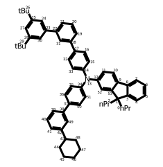 CCCC1(CCC)c2ccccc2-c2ccc(N(c3ccc(-c4cccc(-c5cc(C(C)(C)C)cc(C(C)(C)C)c5)c4)cc3)c3ccc(-c4cccc(C5CCCCC5)c4)cc3)cc21